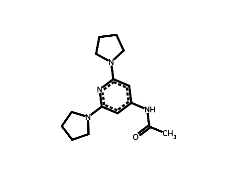 CC(=O)Nc1cc(N2CCCC2)nc(N2CCCC2)c1